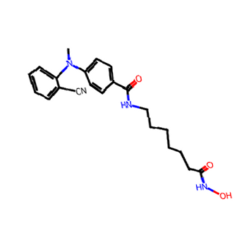 CN(c1ccc(C(=O)NCCCCCCC(=O)NO)cc1)c1ccccc1C#N